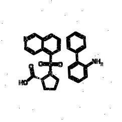 Nc1ccccc1-c1ccccc1.O=C(O)[C@H]1CCCN1S(=O)(=O)c1cccc2cnccc12